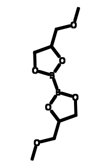 COCC1COB(B2OCC(COC)O2)O1